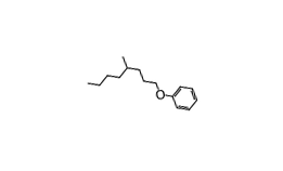 CCCCC(C)CCCOc1ccccc1